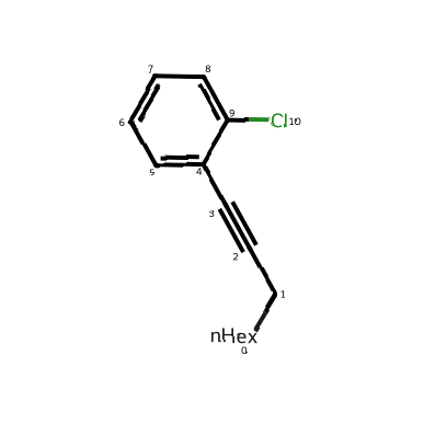 CCCCCCCC#Cc1ccccc1Cl